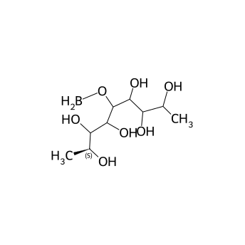 BOC(C(O)C(O)C(C)O)C(O)C(O)[C@H](C)O